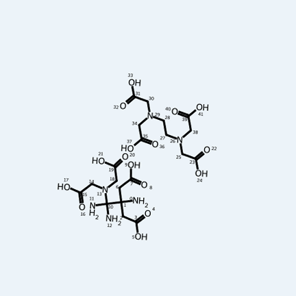 NC(CC(=O)O)(CC(=O)O)C(N)(N)N(CC(=O)O)CC(=O)O.O=C(O)CN(CCN(CC(=O)O)CC(=O)O)CC(=O)O